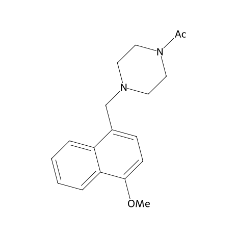 COc1ccc(CN2CCN(C(C)=O)CC2)c2ccccc12